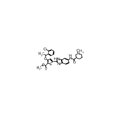 COC(=O)c1sc(-c2nc3ccc(NC(=O)C4CCCN(C)C4)cc3[nH]2)cc1OC(C)c1ccccc1Cl